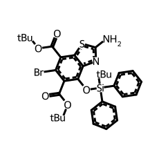 CC(C)(C)OC(=O)c1c(Br)c(C(=O)OC(C)(C)C)c2sc(N)nc2c1O[Si](c1ccccc1)(c1ccccc1)C(C)(C)C